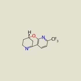 FC(F)(F)c1ccc2c(n1)O[C@H]1CCN=C2C1